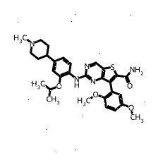 COc1ccc(OC)c(-c2c(C(N)=O)sc3cnc(Nc4ccc(C5CCN(C)CC5)cc4OC(C)C)nc23)c1